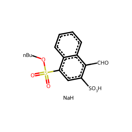 CCCCOS(=O)(=O)c1cc(S(=O)(=O)O)c(C=O)c2ccccc12.[NaH]